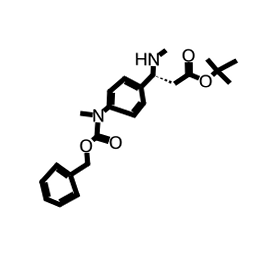 CN[C@H](CC(=O)OC(C)(C)C)c1ccc(N(C)C(=O)OCc2ccccc2)cc1